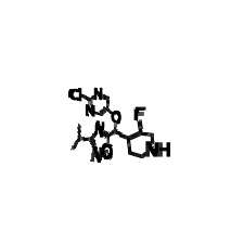 CC(C)c1noc(C(Oc2cnc(Cl)nc2)C2CCNCC2F)n1